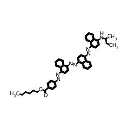 CCCCCCOC(=O)c1ccc(/N=N/c2ccc(/N=N/c3ccc(/N=N/c4ccc(NC(C)CC)c5ccccc45)c4ccccc34)c3ccccc23)cc1